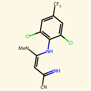 CN/C(=C/C(=N)C#N)Nc1c(Cl)cc(C(F)(F)F)cc1Cl